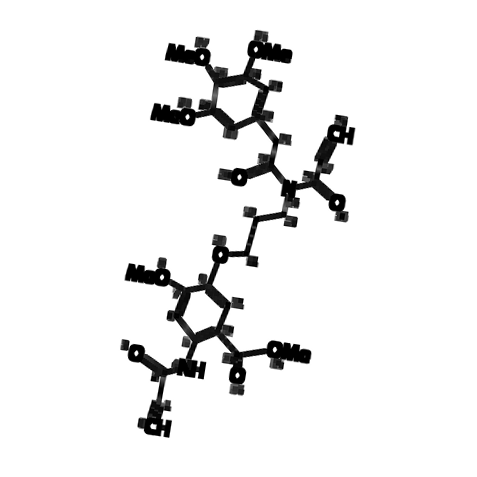 C#CC(=O)Nc1cc(OC)c(OCCCN(C(=O)C#C)C(=O)Cc2cc(OC)c(OC)c(OC)c2)cc1C(=O)OC